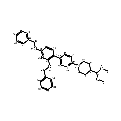 COC(OC)C1CCN(c2ccc(-c3ccc(OCc4ccccc4)nc3OCc3ccccc3)cn2)CC1